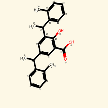 Cc1ccccc1C(C)c1cc(C(=O)O)c(O)c(C(C)c2ccccc2C)c1